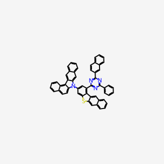 c1ccc(-c2nc(-c3ccc4ccccc4c3)nc(-c3cc(-n4c5cc6ccccc6cc5c5c6ccccc6ccc54)cc4sc5cc6ccccc6cc5c34)n2)cc1